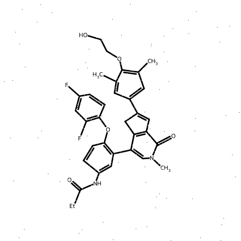 CCC(=O)Nc1ccc(Oc2ccc(F)cc2F)c(-c2cn(C)c(=O)c3c2CC(c2cc(C)c(OCCO)c(C)c2)=C3)c1